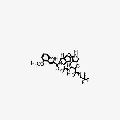 COc1cccc2[nH]c(C(=O)N3C[C@@H]4CCC[C@@H]4[C@H]3C(=O)N[C@@H](C[C@@H]3CCNC3=O)C(=O)C(=O)NCC(F)(F)F)cc12